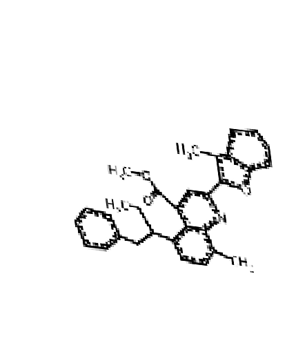 CCC(Cc1ccccc1)c1ccc(C)c2nc(-c3oc4ccccc4c3C)cc(C(=O)OC)c12